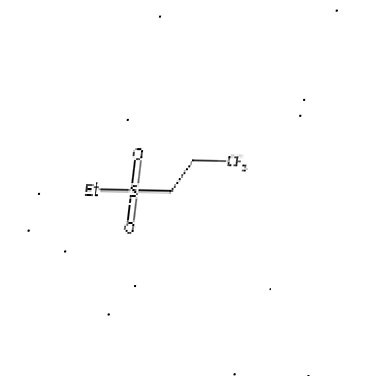 CCS(=O)(=O)CCC(F)(F)F